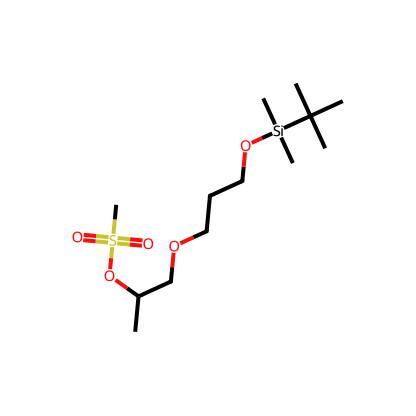 CC(COCCCO[Si](C)(C)C(C)(C)C)OS(C)(=O)=O